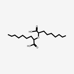 CCCCCCCC(OC(CCCCCCC)C(=O)O)C(=O)O